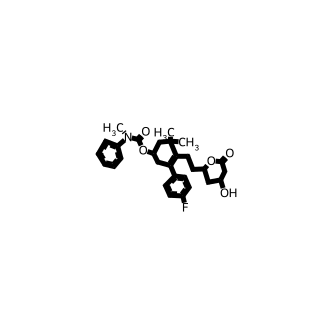 CN(C(=O)OC1CC(c2ccc(F)cc2)=C(CCC2CC(O)CC(=O)O2)C(C)(C)C1)c1ccccc1